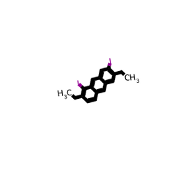 CCc1cc2cc3ccc(CC)c(I)c3cc2cc1I